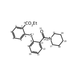 CCOC(=O)c1ccccc1Sc1ccccc1C(=O)N1CCCCC1